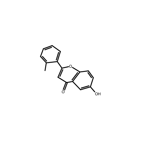 Cc1ccccc1-c1cc(=O)c2cc(O)ccc2o1